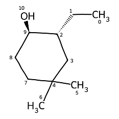 CC[C@@H]1CC(C)(C)CC[C@H]1O